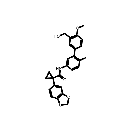 COc1ccc(-c2cc(NC(=O)C3(c4ccc5c(c4)OCO5)CC3)ccc2C)cc1CO